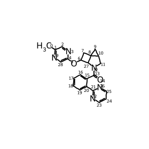 Cc1cnc(OC2CC34CC3CN(C(=O)c3ccccc3-c3ncccn3)C24)cn1